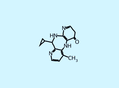 Cc1ccnc2c1NC1=C(N=CCC1=O)NC2C1CC1